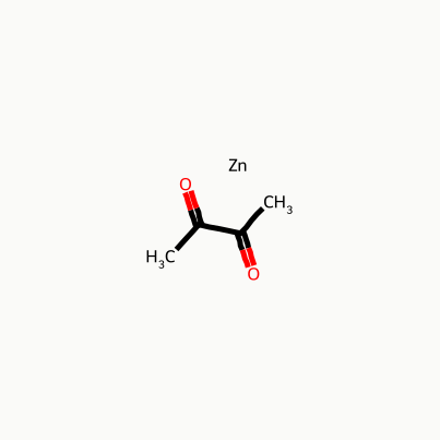 CC(=O)C(C)=O.[Zn]